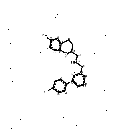 Fc1ccc(-c2cncc(CNCC3CCc4cc(F)ccc4O3)c2)cc1